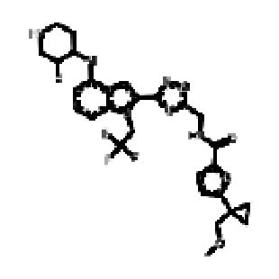 COCC1(c2ccc(C(=O)NCc3nc(-c4cc5c(N[C@@H]6CCNC[C@@H]6F)cccc5n4CC(F)(F)F)no3)s2)CC1